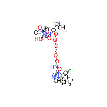 Cc1ncsc1-c1ccc(CNC(=O)[C@@H]2C[C@@H](O)CN2C(=O)[C@H](C(C)C)N2Cc3ccccc3C2=O)c(OCCOCCOCCCCOCCOCCNC(=O)C[C@@H]2N=C(c3ccc(Cl)cc3)c3c(sc(C)c3C)-n3c(C)nnc32)c1